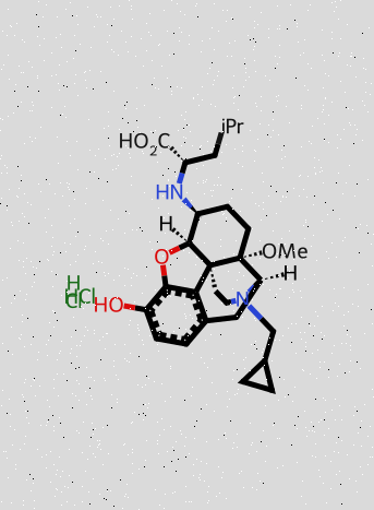 CO[C@@]12CC[C@H](N[C@@H](CC(C)C)C(=O)O)[C@@H]3Oc4c(O)ccc5c4[C@@]31CCN(CC1CC1)[C@@H]2C5.Cl.Cl